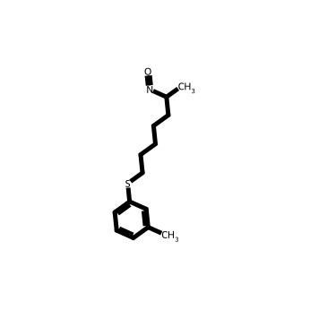 Cc1cccc(SCCCCCC(C)N=O)c1